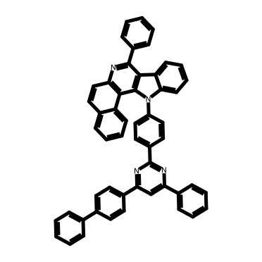 c1ccc(-c2ccc(-c3cc(-c4ccccc4)nc(-c4ccc(-n5c6ccccc6c6c(-c7ccccc7)nc7ccc8ccccc8c7c65)cc4)n3)cc2)cc1